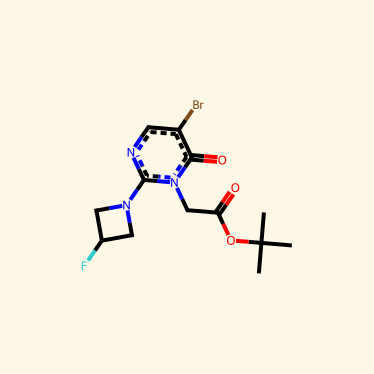 CC(C)(C)OC(=O)Cn1c(N2CC(F)C2)ncc(Br)c1=O